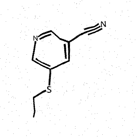 CCSc1cncc(C#N)c1